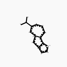 CC(C)c1cccc2c3sccc3cc-2c1